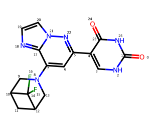 O=c1[nH]cc(-c2cc(N3CC4CC(C3)C4(F)F)c3nccn3n2)c(=O)[nH]1